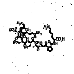 CC(C)C[C@H](NC(=O)[C@H](CC(C)C)NC(=O)[C@H](CC(=O)O)NC(=O)[C@H](CCC(N)=O)NC(=O)CN)C(=O)N[C@@H](C)C(=O)NCC(=O)N1CCC[C@H]1C(=O)N[C@@H](CCCCN)C(=O)O